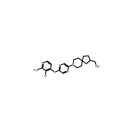 Nc1nccc(Sc2cnc(N3CCC4(CCC(CO)C4)CC3)cn2)c1Cl